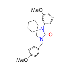 COc1ccc(CN2CC3(CCCCC3)N(c3cccc(OC)c3)C2=O)cc1